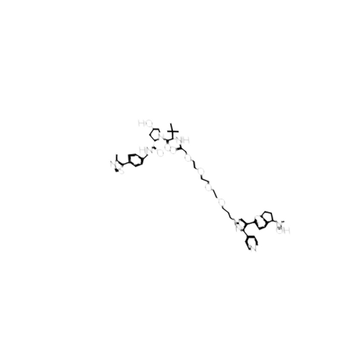 Cc1ncsc1-c1ccc(CNC(=O)[C@@H]2C[C@@H](O)CN2C(=O)[C@@H](NC(=O)COCCOCCOCCOCCCn2cc(-c3ccc4c(c3)CCC4N(C)O)c(-c3ccncc3)n2)C(C)(C)C)cc1